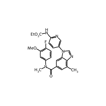 CCOC(=O)Nc1ccc(-n2cnc3c(C)cc(C(=O)N(C)c4ccc(F)c(OC)c4)cc32)cn1